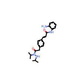 CC(C)NN(C(=O)Cc1ccc(/C=C/C(=O)Nc2ccccc2N)cc1)C(C)C